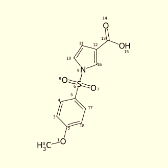 COc1ccc(S(=O)(=O)n2ccc(C(=O)O)c2)cc1